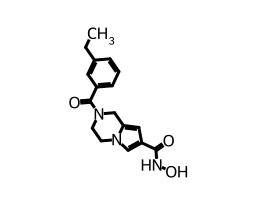 CCc1cccc(C(=O)N2CCn3cc(C(=O)NO)cc3C2)c1